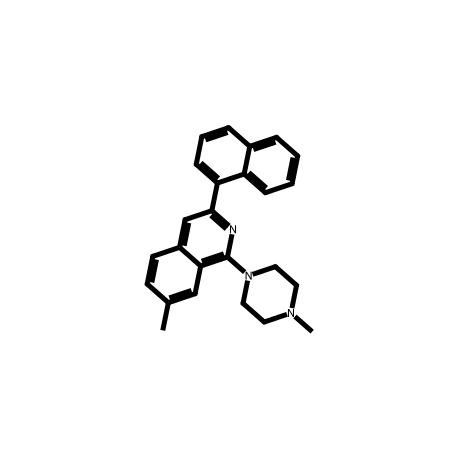 Cc1ccc2cc(-c3cccc4ccccc34)nc(N3CCN(C)CC3)c2c1